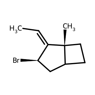 C/C=C1\[C@H](Br)CC2CC[C@@]12C